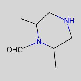 CC1CNCC(C)N1C=O